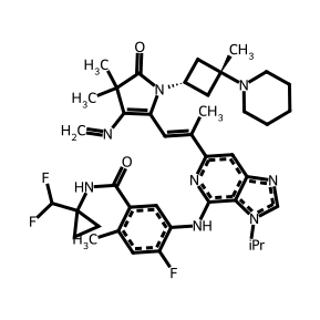 C=NC1=C(/C=C(\C)c2cc3ncn(C(C)C)c3c(Nc3cc(C(=O)NC4(C(F)F)CC4)c(C)cc3F)n2)N([C@H]2C[C@@](C)(N3CCCCC3)C2)C(=O)C1(C)C